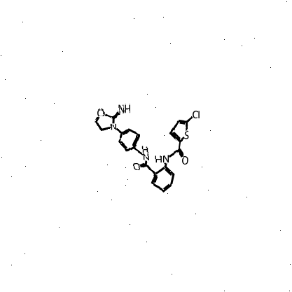 N=C1OCCN1c1ccc(NC(=O)c2ccccc2NC(=O)c2ccc(Cl)s2)cc1